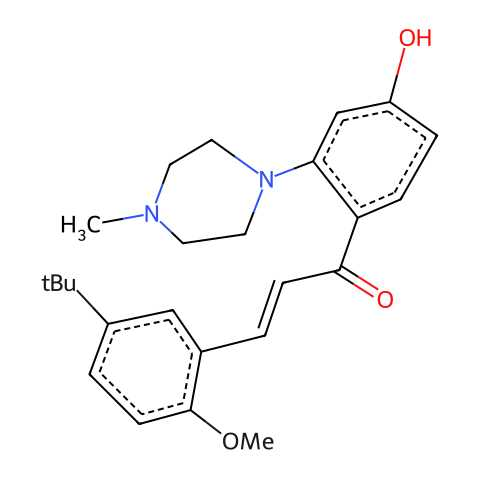 COc1ccc(C(C)(C)C)cc1C=CC(=O)c1ccc(O)cc1N1CCN(C)CC1